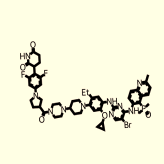 CCc1cc(Nc2ncc(Br)c(Nc3ccc4nc(C)ccc4c3P(C)(C)=O)n2)c(OC2CC2)cc1N1CCC(N2CCN(C(=O)C3CCN(c4cc(F)c(C5CCC(=O)NC5=O)c(F)c4)C3)CC2)CC1